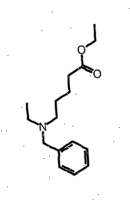 CCOC(=O)CCCCN(CC)Cc1ccccc1